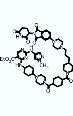 CCOC(=O)c1cnc(Nc2cnn(C)c2)nc1NC1CCC(N2CCN(C(=O)C3CCC(C(=O)N4CCC(CCCN5CCN(c6ccc7c(c6)C(=O)N(C6CCC(=O)NC6=O)C7=O)CC5)CC4)CC3)CC2)CC1